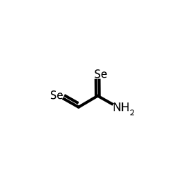 NC(=[Se])C=[Se]